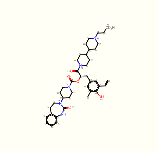 C=Cc1cc(C[C@@H](OC(=O)N2CCC(N3CCc4ccccc4NC3=O)CC2)C(=O)N2CCC(C3CCN(CCC(=O)O)CC3)CC2)cc(C)c1O